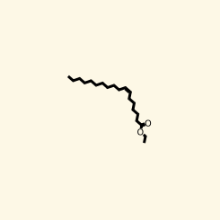 CCCCCCCCCC/C=C\CCCCCC(=O)OCC